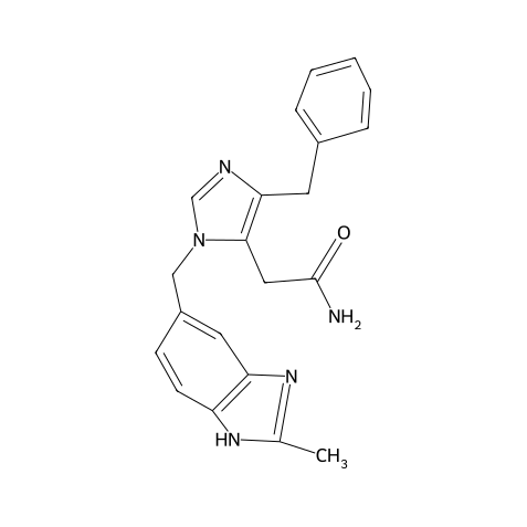 Cc1nc2cc(Cn3cnc(Cc4ccccc4)c3CC(N)=O)ccc2[nH]1